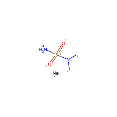 CN(C)S(N)(=O)=O.[NaH]